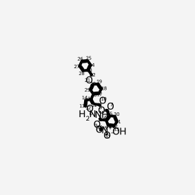 NNC(=O)c1c(C(=O)OC(=O)c2occc2-c2cccc(OCc3ccccc3)c2)ccc(O)c1[N+](=O)[O-]